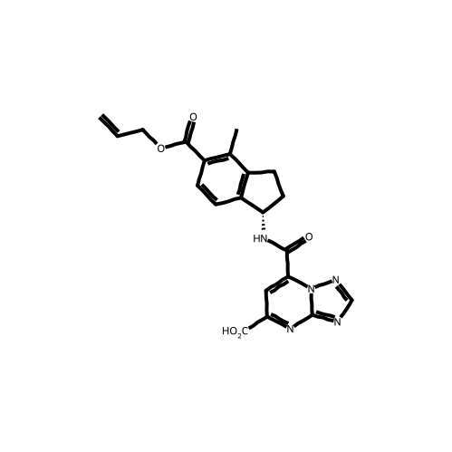 C=CCOC(=O)c1ccc2c(c1C)CC[C@@H]2NC(=O)c1cc(C(=O)O)nc2ncnn12